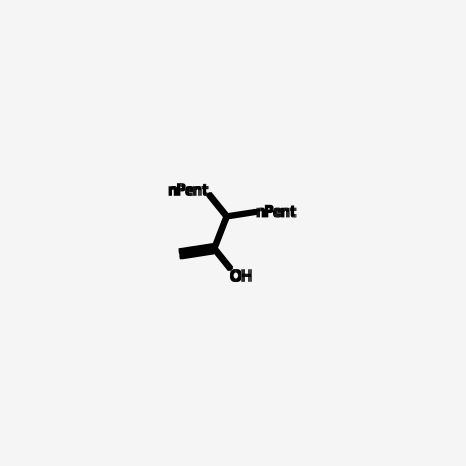 C=C(O)[C](CCCCC)CCCCC